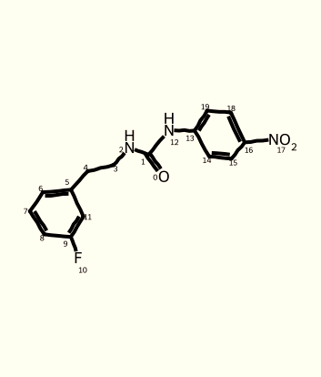 O=C(NCCc1cccc(F)c1)Nc1ccc([N+](=O)[O-])cc1